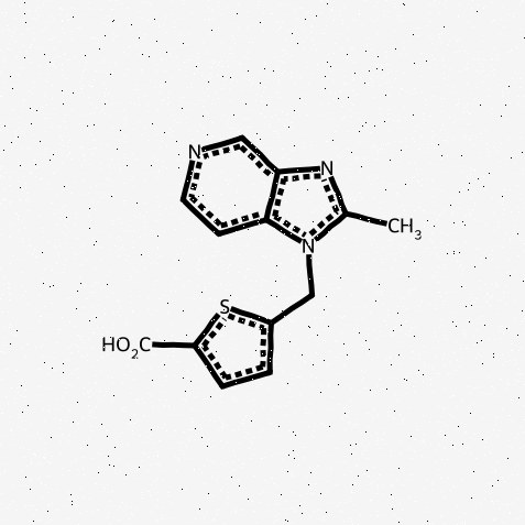 Cc1nc2cnccc2n1Cc1ccc(C(=O)O)s1